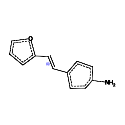 Nc1ccc(/C=C/c2ccco2)cc1